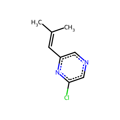 CC(C)=Cc1cncc(Cl)n1